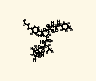 CCCCc1ccc(C(=O)N[C@@H](CNS(=O)(=O)NC(=O)Nc2ccc(C)cc2)C(=O)N[C@@H](CC(C)C)B2O[C@@H]3C[C@@H]4C[C@@H](C4(C)C)[C@]3(C)O2)cc1